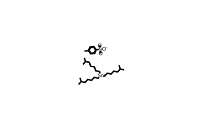 CC(C)CCCC[CH2][Sn+]([CH2]CCCCC(C)C)[CH2]CCCCC(C)C.Cc1ccc(S(=O)(=O)[O-])cc1